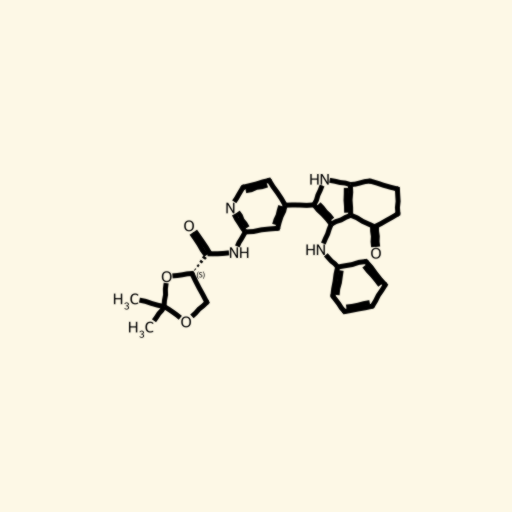 CC1(C)OC[C@@H](C(=O)Nc2cc(-c3[nH]c4c(c3Nc3ccccc3)C(=O)CCC4)ccn2)O1